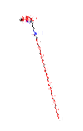 COCCOCCOCCOCCOCCOCCOCCOCCOCCOCCOCCOCCC(=O)NCCCCC(NC(=O)OC(C)(C)C)C(=O)O